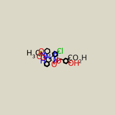 CS(=O)(=O)N[C@H]1CCCC[C@@H]1N1C(=O)c2ccccc2[C@@H](C(=O)NOCc2ccc(O)c(C(=O)O)c2)[C@@H]1c1ccc(Cl)cc1